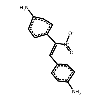 Nc1ccc(C=C(c2ccc(N)cc2)[N+](=O)[O-])cc1